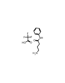 NCCCC(=O)Nc1ccccc1.O=C(O)C(F)(F)F